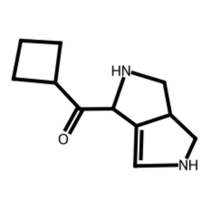 O=C(C1CCC1)C1NCC2CNC=C21